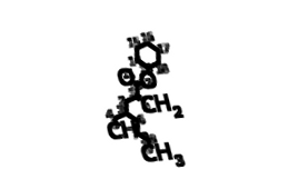 C=C(CC(CC)CCCC)C(=O)OC1CCCCC1